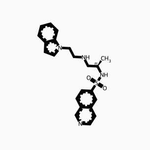 C[C@H](CNCCn1ccc2ccccc21)NS(=O)(=O)c1ccc2cnccc2c1